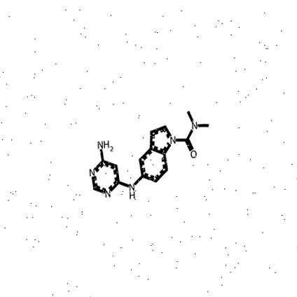 CN(C)C(=O)n1ccc2cc(Nc3cc(N)ncn3)ccc21